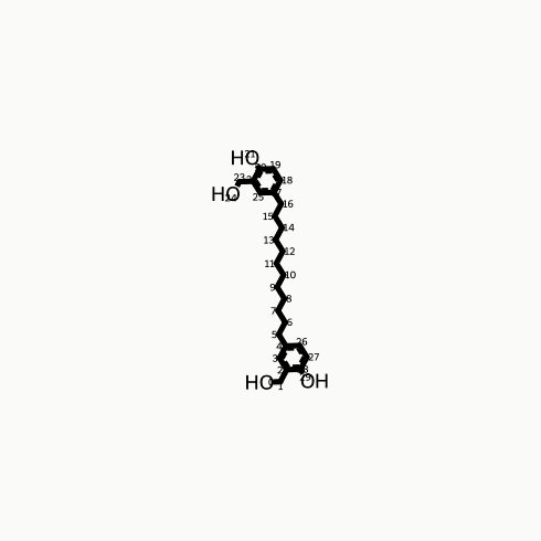 OCc1cc(CCCCCCCCCCCCc2ccc(O)c(CO)c2)ccc1O